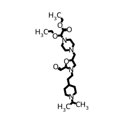 CCOC(=O)C(OCC)N1CCN(CC2CN(CCC3CCN(C(C)C)CC3)C(C=O)O2)CC1